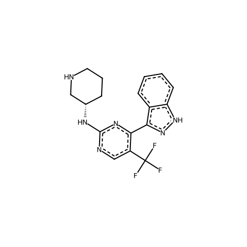 FC(F)(F)c1cnc(N[C@H]2CCCNC2)nc1-c1n[nH]c2ccccc12